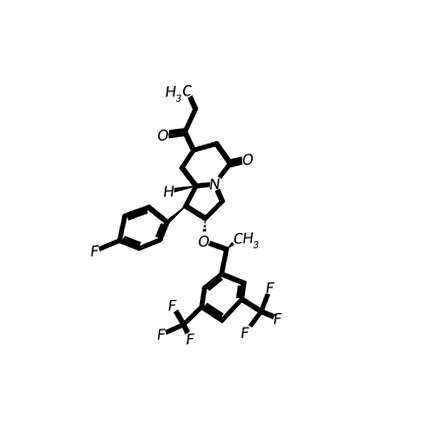 CCC(=O)C1CC(=O)N2C[C@H](O[C@H](C)c3cc(C(F)(F)F)cc(C(F)(F)F)c3)[C@@H](c3ccc(F)cc3)[C@@H]2C1